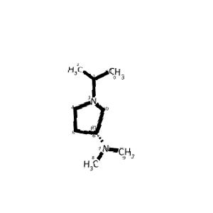 CC(C)N1CC[C@@H](N(C)C)C1